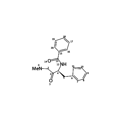 CNCC(=O)[C@H](Cc1ccccc1)NC(=O)c1ccccc1